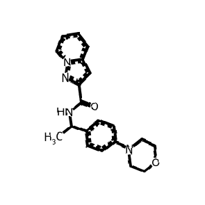 CC(NC(=O)c1cc2ccccn2n1)c1ccc(N2CCOCC2)cc1